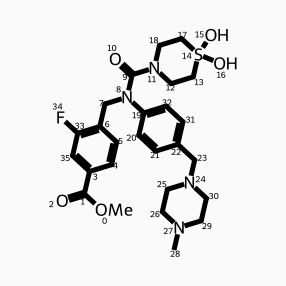 COC(=O)c1ccc(CN(C(=O)N2CCS(O)(O)CC2)c2ccc(CN3CCN(C)CC3)cc2)c(F)c1